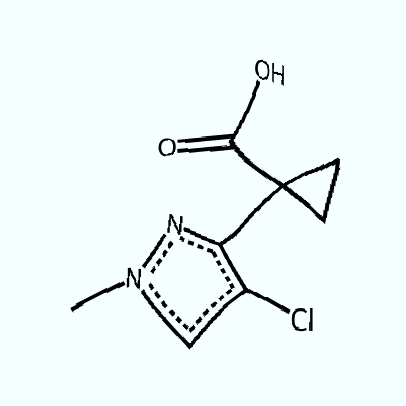 Cn1cc(Cl)c(C2(C(=O)O)CC2)n1